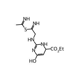 CCOC(=O)C1C=C(O)N=C(NCC(=N)SC(C)=N)N1